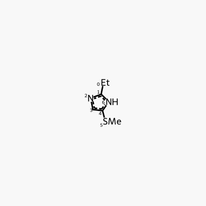 CCc1ncc(SC)[nH]1